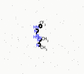 Cc1cncc(-c2cc(C)nc(N/N=C/c3ccc(Nc4cccc(C(F)(F)F)c4)cn3)n2)c1